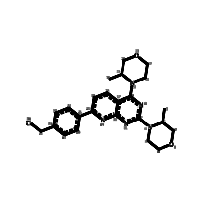 CC1COCCN1c1nc(N2CCOCC2C)c2ccc(-c3ccc(CCl)cc3)nc2n1